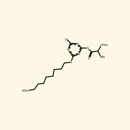 CCCCCCCCCCCCCCCCCCSc1nc(Cl)nc(OC(=S)C(CCCC)CCCCCC)n1